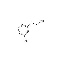 CC(=O)c1cccc(CCO)c1